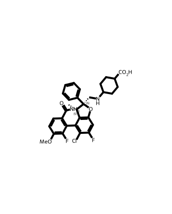 COc1ccc(C(N)=O)c(-c2c(Cl)c(F)cc3c2[C@H](C)[C@@](CNC2CCC(C(=O)O)CC2)(c2ccccc2)O3)c1F